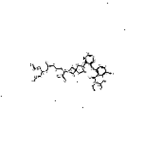 CCN(C(=O)c1cc(F)ccc1Oc1nncnc1N1CCC2(C1)CN([C@H](CCCN(C)C[C@@H](COC)OC=O)C(C)C)C2)C(C)C